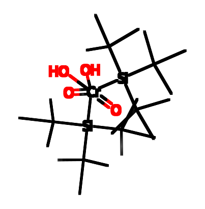 CC(C)(C)[Si](C(C)(C)C)(C(C)(C)C)[Cr](=[O])(=[O])([OH])([OH])[Si](C(C)(C)C)(C(C)(C)C)C(C)(C)C